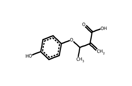 C=C(C(=O)O)C(C)Oc1ccc(O)cc1